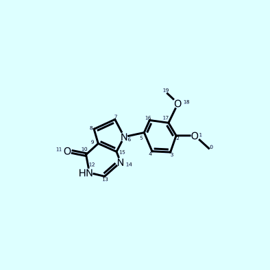 COc1ccc(-n2ccc3c(=O)[nH]cnc32)cc1OC